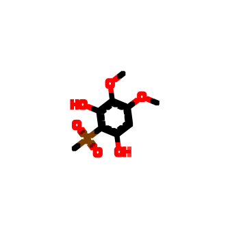 COc1cc(O)c(S(C)(=O)=O)c(O)c1OC